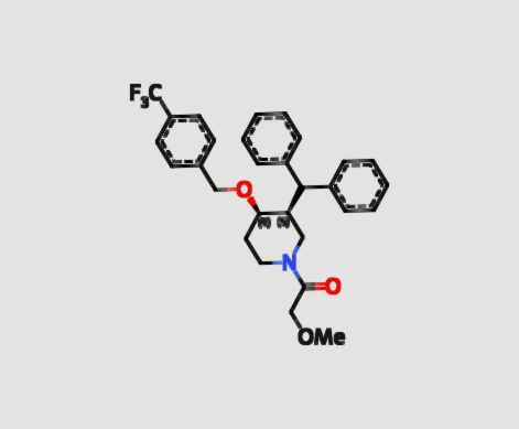 COCC(=O)N1CC[C@@H](OCc2ccc(C(F)(F)F)cc2)[C@@H](C(c2ccccc2)c2ccccc2)C1